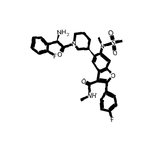 CNC(=O)c1c(-c2ccc(F)cc2)oc2cc(N(C)S(C)(=O)=O)c([C@@H]3CCCN(C(=O)[C@H](N)c4ccccc4F)C3)cc12